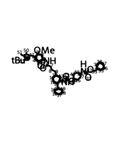 COc1cc(NC(=O)CCCc2ccc(-c3ccccc3)c(NC(=O)O[C@H]3CC[C@H](NC(=O)OCc4ccccc4)CC3)c2)c(Cl)cc1CO[Si](C)(C)C(C)(C)C